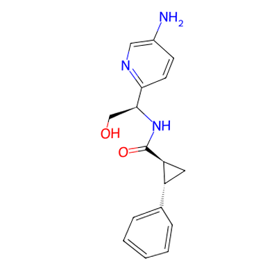 Nc1ccc([C@H](CO)NC(=O)[C@H]2C[C@@H]2c2ccccc2)nc1